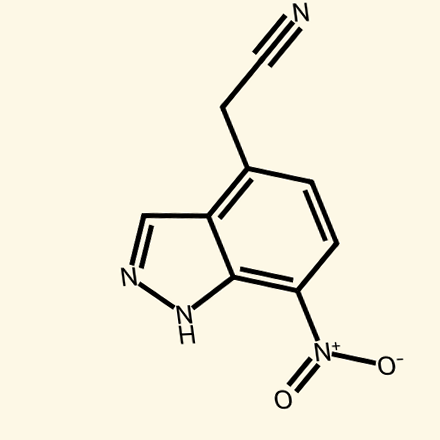 N#CCc1ccc([N+](=O)[O-])c2[nH]ncc12